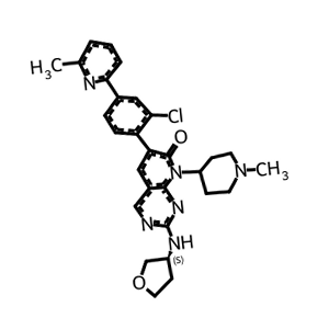 Cc1cccc(-c2ccc(-c3cc4cnc(N[C@H]5CCOC5)nc4n(C4CCN(C)CC4)c3=O)c(Cl)c2)n1